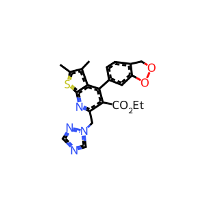 CCOC(=O)c1c(Cn2cncn2)nc2sc(C)c(C)c2c1-c1ccc2c(c1)OOC2